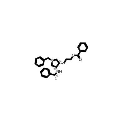 C[C@@H](N[C@@H]1CN(Cc2ccccc2)C[C@@H]1CCCOC(=O)c1ccccc1)c1ccccc1